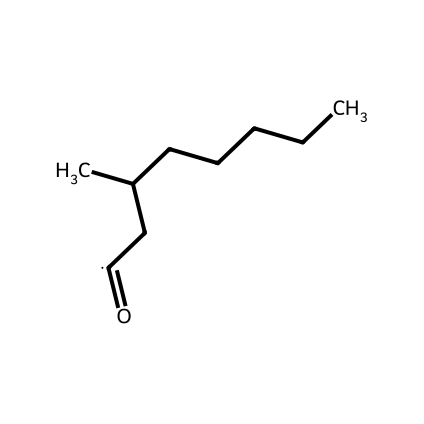 CCCCCC(C)C[C]=O